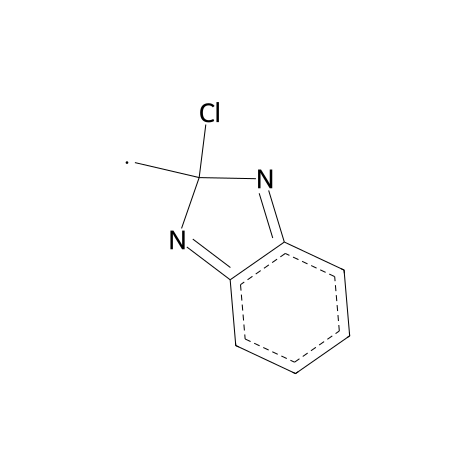 [CH2]C1(Cl)N=c2ccccc2=N1